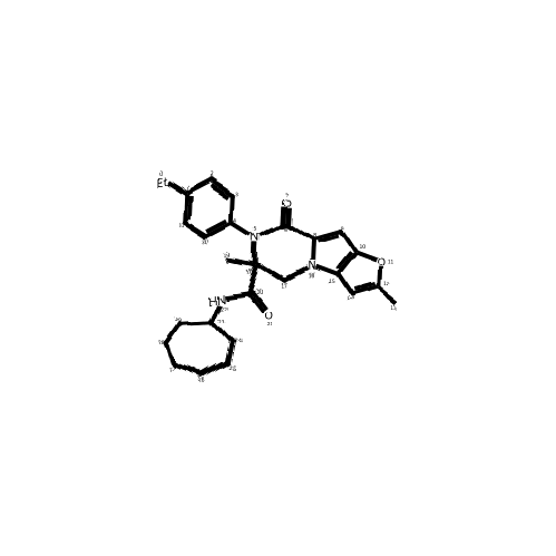 CCc1ccc(N2C(=O)c3cc4oc(C)cc4n3CC2(C)C(=O)NC2CCCCCC2)cc1